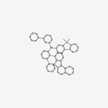 CC1(C)c2ccccc2-c2ccc(N(c3cccc(-c4ccccc4)c3)c3cccc(-c4ccccc4)c3-c3cccc4c3oc3ccc5ccccc5c34)cc21